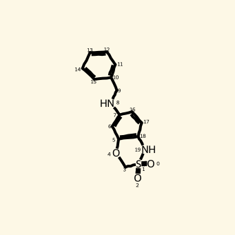 O=S1(=O)COc2cc(NCc3ccccc3)ccc2N1